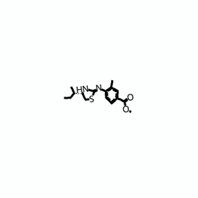 CCC(C)[C@H]1CSC(=Nc2ccc(C(=O)OC)cc2C)N1